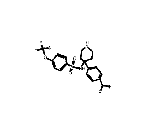 O=S(=O)(NC1(c2ccc(C(F)F)cc2)CCNCC1)c1ccc(OC(F)(F)F)cc1